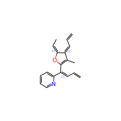 C=C/C=C(/c1ccccn1)c1oc(=C/C)/c(=C\C=C)c1C